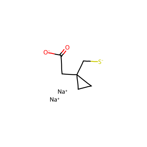 O=C([O-])CC1(C[S-])CC1.[Na+].[Na+]